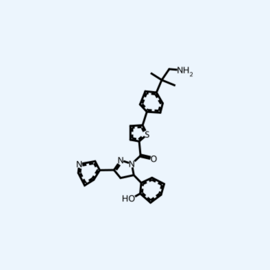 CC(C)(CN)c1ccc(-c2ccc(C(=O)N3N=C(c4cccnc4)CC3c3ccccc3O)s2)cc1